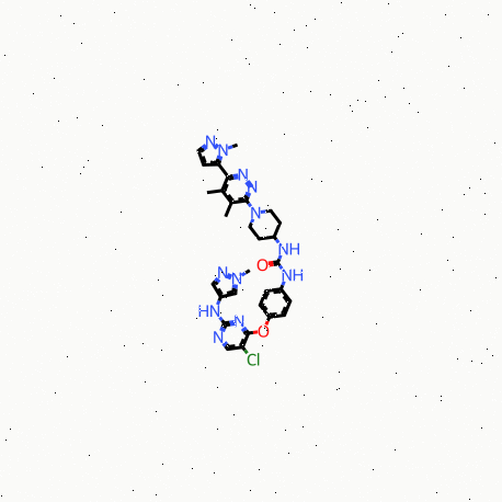 Cc1c(-c2ccnn2C)nnc(N2CCC(NC(=O)Nc3ccc(Oc4nc(Nc5cnn(C)c5)ncc4Cl)cc3)CC2)c1C